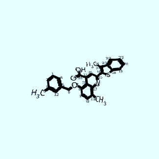 Cc1cccc(COc2ccc(C)c3nc(-c4sc5ccccc5c4C)cc(C(=O)O)c23)c1